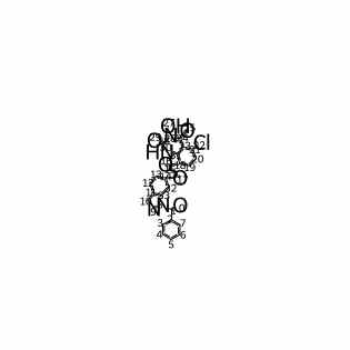 O=C(c1ccccc1)n1ncc2ccc(S(=O)(=O)c3ccc(Cl)c4c(=O)n(O)c(=O)[nH]c34)cc21